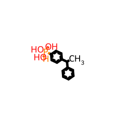 CC(c1ccccc1)c1ccc([PH](O)(O)O)cc1